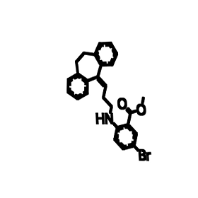 COC(=O)c1cc(Br)ccc1NCCC=C1c2ccccc2CCc2ccccc21